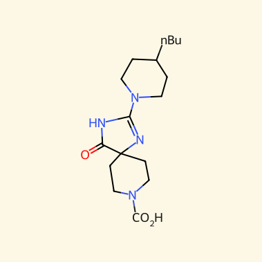 CCCCC1CCN(C2=NC3(CCN(C(=O)O)CC3)C(=O)N2)CC1